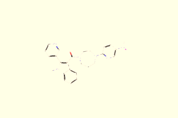 Cn1c(-c2cccnc2)c(C(=O)N2CCCN(c3ccc([N+](=O)[O-])cn3)CC2)c2ccccc21